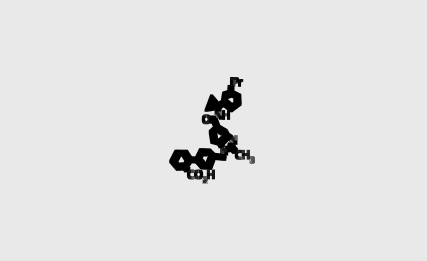 Cc1nc2cc(C(=O)NC3(c4cccc(C(C)C)c4)CC3)ccc2n1Cc1ccc(-c2ccccc2C(=O)O)cc1